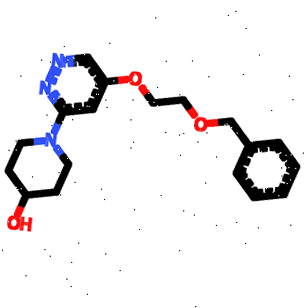 OC1CCN(c2cc(OCCOCc3ccccc3)cnn2)CC1